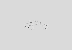 c1ccc(C2CCN(Cc3nc4cccc5c4n3CCC5)CC2)cc1